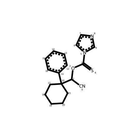 N#CC(OC(=S)n1ccnc1)C1(c2ccccc2)CCCCC1